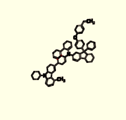 C=CC1=CC=C(OC2=CCC(C3(C4=CC=CCC4)C4=C(C=CC(N(C5=CCC(C6=CC7C8C(=CC=CC8C)N(C8CCCCC8)C7CC6)CC5)C5=CCCCC5C5=CC=CCC5)C4)C4CCCCC43)CC2)CC1